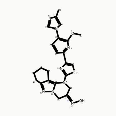 COc1nc(-c2csc(N3C/C(=N\O)Cn4nc5c(c43)CCCC5)n2)ccc1-n1cnc(C)c1